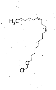 CCCCC/C=C\C/C=C\CCCCCCCCOCCl